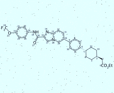 CCOC(=O)C[C@H]1CC[C@H](c2ccc(-c3ccc4nc(C(=O)Nc5ccc(OC(F)(F)F)cc5)cn4c3)cc2)CC1